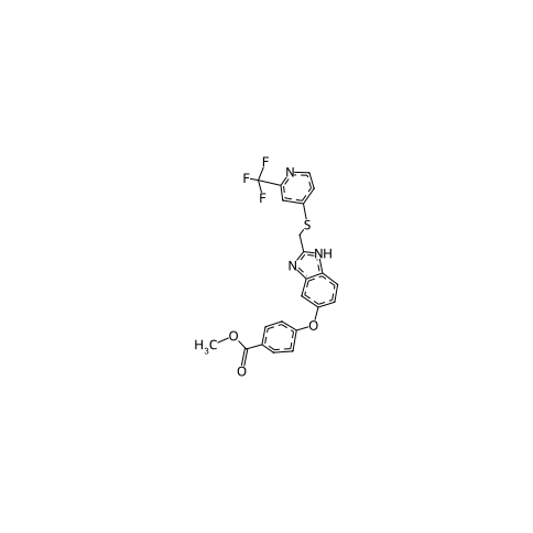 COC(=O)c1ccc(Oc2ccc3[nH]c(CSc4ccnc(C(F)(F)F)c4)nc3c2)cc1